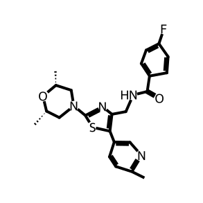 Cc1ccc(-c2sc(N3C[C@@H](C)O[C@@H](C)C3)nc2CNC(=O)c2ccc(F)cc2)cn1